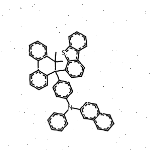 CC1(C)c2ccccc2-c2ccccc2C1(c1ccc(N(c2ccccc2)c2ccc3ccccc3c2)cc1)c1cccc2c1sc1ccccc12